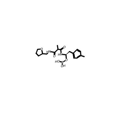 Cc1ccc(C[C@H](NC(=O)C(C)C(=O)NCC2CCCO2)OB(O)O)cc1